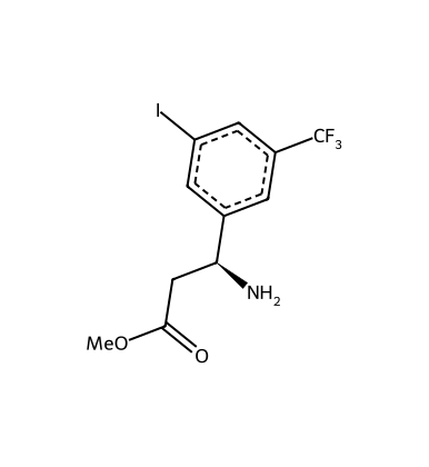 COC(=O)C[C@H](N)c1cc(I)cc(C(F)(F)F)c1